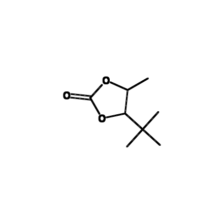 CC1OC(=O)OC1C(C)(C)C